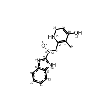 CC1=C(C[S@@+]([O-])c2nc3ccccc3[nH]2)NCC=C1O